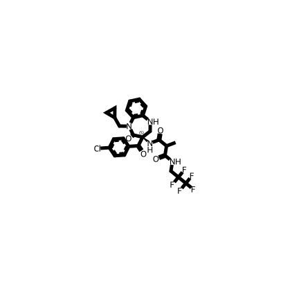 CC(C(=O)NCC(F)(F)C(F)(F)F)C(=O)N[C@]1(C(=O)c2ccc(Cl)cc2)CNc2ccccc2N(CC2CC2)C1=O